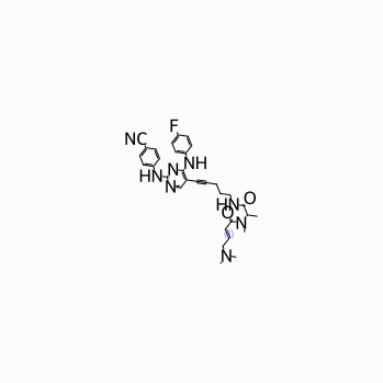 CC(C(=O)NCCCC#Cc1cnc(Nc2ccc(C#N)cc2)nc1Nc1ccc(F)cc1)N(C)C(=O)/C=C/CN(C)C